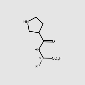 CC(C)[C@H](NC(=O)C1CCNC1)C(=O)O